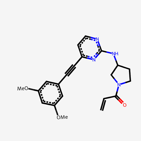 C=CC(=O)N1CCC(Nc2nccc(C#Cc3cc(OC)cc(OC)c3)n2)C1